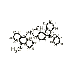 CCN(Cc1ccc2c(c1)c1ccccc1n2-c1ccccc1)Cc1c2ccccc2c(C)c2ccccc12